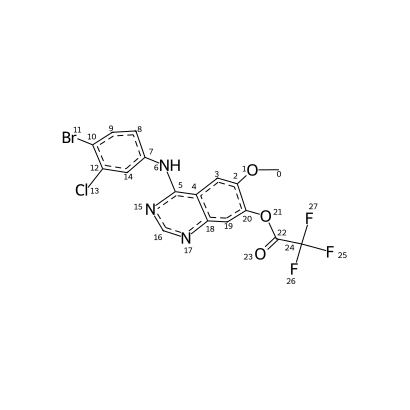 COc1cc2c(Nc3ccc(Br)c(Cl)c3)ncnc2cc1OC(=O)C(F)(F)F